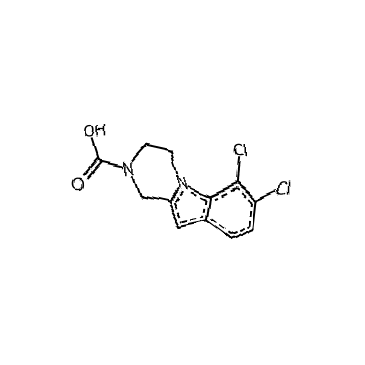 O=C(O)N1CCn2c(cc3ccc(Cl)c(Cl)c32)C1